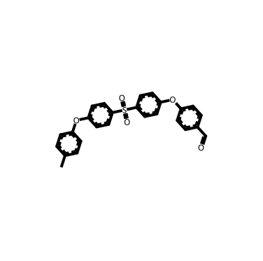 Cc1ccc(Oc2ccc(S(=O)(=O)c3ccc(Oc4ccc(C=O)cc4)cc3)cc2)cc1